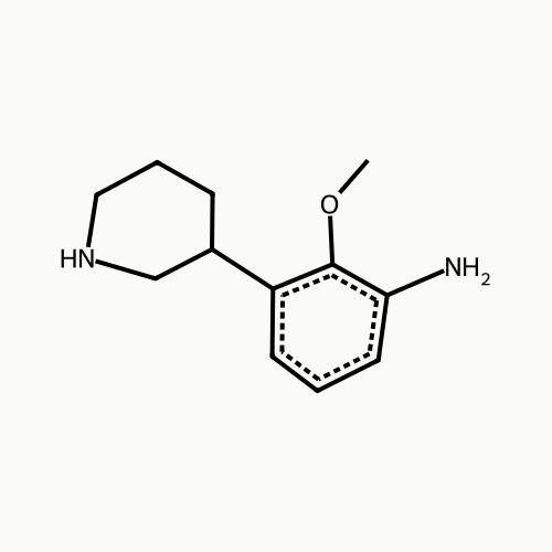 COc1c(N)cccc1C1CCCNC1